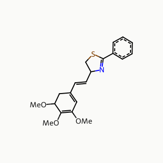 COC1=C(OC)C(OC)CC(/C=C/C2CSC(c3ccccc3)=N2)=C1